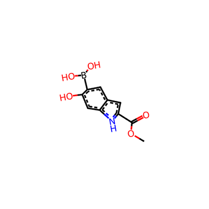 COC(=O)c1cc2cc(B(O)O)c(O)cc2[nH]1